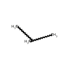 CCCCCCCCCCCCCCCCCCN(CN)CCCCCCCCCCCCCCCCCC